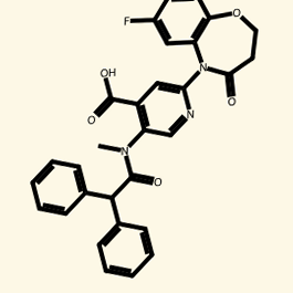 CN(C(=O)C(c1ccccc1)c1ccccc1)c1cnc(N2C(=O)CCOc3ccc(F)cc32)cc1C(=O)O